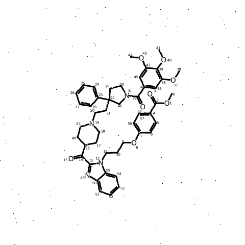 COC(=O)c1ccc(OCCCn2c(C(=O)C3CCN(CCC4(c5ccccc5)CCN(C(=O)c5cc(OC)c(OC)c(OC)c5)C4)CC3)nc3ccccc32)cc1